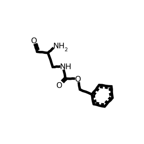 NC(C=O)CNC(=O)OCc1ccccc1